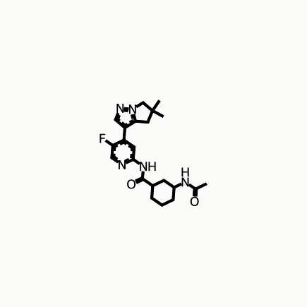 CC(=O)NC1CCCC(C(=O)Nc2cc(-c3cnn4c3CC(C)(C)C4)c(F)cn2)C1